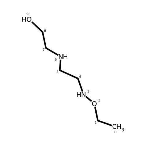 CCONCCNCCO